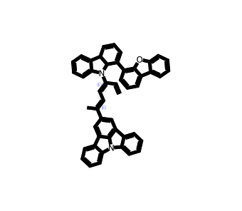 C=C/C(=C\C=C(/C)c1cc2c3ccccc3n3c4ccccc4c(c1)c23)N1c2ccccc2C2C=CC=C(c3cccc4c3oc3ccccc34)C21